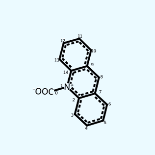 O=C([O-])[n+]1c2ccccc2cc2ccccc21